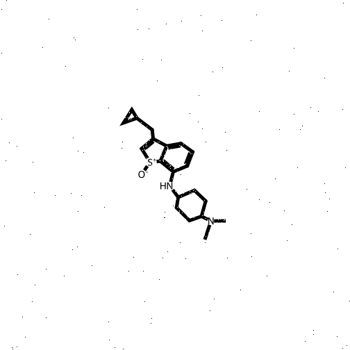 CN(C)C1CCC(Nc2cccc3c(CC4CC4)c[s+]([O-])c23)CC1